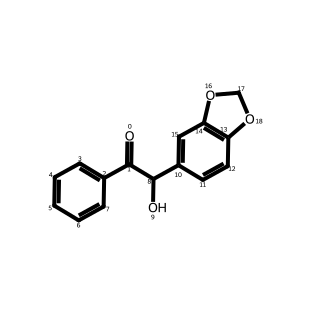 O=C(c1ccccc1)C(O)c1ccc2c(c1)OCO2